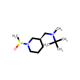 CN(C[C@H]1CCCN([S+](C)[O-])C1)C(C)(C)C